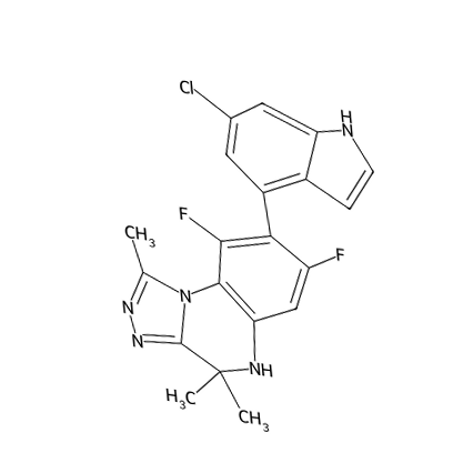 Cc1nnc2n1-c1c(cc(F)c(-c3cc(Cl)cc4[nH]ccc34)c1F)NC2(C)C